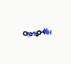 C[C@H]1C[C@H](Cn2ccc3cc(-c4cn[nH]c4)ccc32)CN1C1CCCCC1